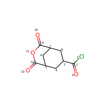 O=C(Cl)C1CC2CC(C1)C(=O)OC2=O